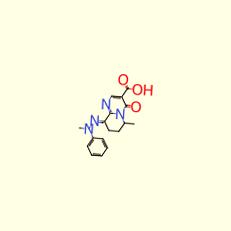 CC1CCC(=NN(C)c2ccccc2)c2ncc(C(=O)O)c(=O)n21